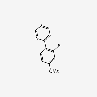 COc1ccc(-c2cc[c]cn2)c(F)c1